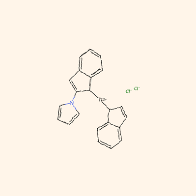 C1=C[CH]([Ti+2][CH]2C(n3cccc3)=Cc3ccccc32)c2ccccc21.[Cl-].[Cl-]